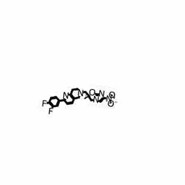 C[C@]1(CN2CCc3nc(-c4ccc(F)c(F)c4)ccc3C2)Cn2cc([N+](=O)[O-])nc2O1